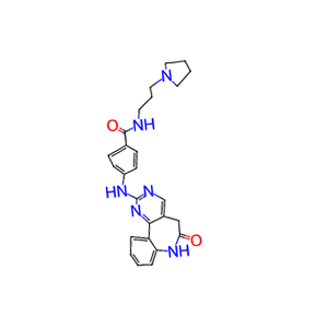 O=C1Cc2cnc(Nc3ccc(C(=O)NCCCN4CCCC4)cc3)nc2-c2ccccc2N1